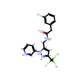 O=C(Cc1cccc(F)c1)NCc1cc(C(F)(F)F)nn1-c1cccnc1